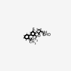 CP(C)c1ccccc1-c1cc(F)c(N2CCC(NC=O)C2=O)c(F)c1